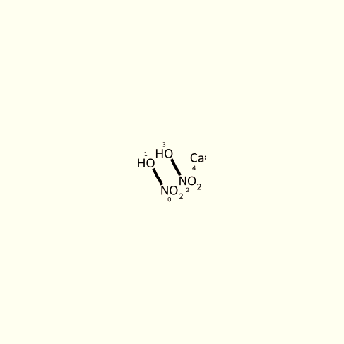 O=[N+]([O-])O.O=[N+]([O-])O.[Ca]